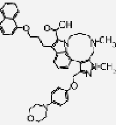 CN1CCCn2c(C(=O)O)c(CCCOc3cccc4ccccc34)c3cccc(c32)-c2c(COc3ccc(N4CCOCC4)cc3)nn(C)c2C1